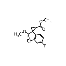 COC(=O)C1CC1(C(=O)OC)c1ccc(F)cc1Cl